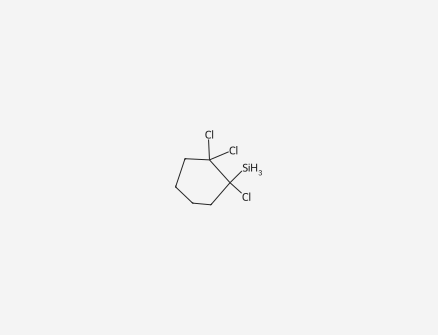 [SiH3]C1(Cl)CCCCC1(Cl)Cl